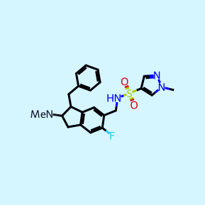 CNC1Cc2cc(F)c(CNS(=O)(=O)c3cnn(C)c3)cc2C1Cc1ccccc1